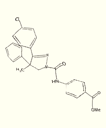 COC(=O)c1ccc(NC(=O)N2CC(C)(c3ccccc3)C(c3ccc(Cl)cc3)=N2)cc1